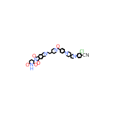 N#Cc1ccc(N2CCC3(CCN(c4ccc(C(=O)N5CCC(CCN6Cc7cc8c(cc7C6)C(=O)N(C6CCC(=O)NC6=O)C8=O)CC5)cc4)CC3)C2)cc1Cl